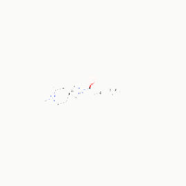 COCC(=O)N1CC2(CCN(C)CC2)C1